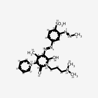 CN=Nc1cc(N=Nc2c(C)c(-[n+]3ccccc3)c(=O)n(CCCN(C)C)c2O)ccc1S(=O)(=O)O